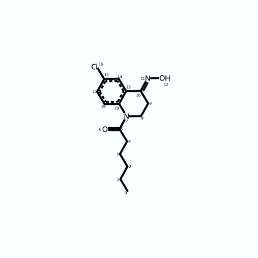 CCCCCC(=O)N1CCC(=NO)c2cc(Cl)ccc21